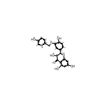 O=C1c2c(O)cc(O)cc2OC(c2ccc(O)c(OCc3ccc(O)cn3)c2)C1O